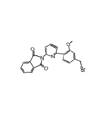 COc1cc(CBr)ccc1-c1cccc(N2C(=O)c3ccccc3C2=O)n1